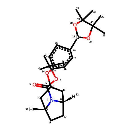 CC(C)(C)OC(=O)N1[C@@H]2CC[C@H]1CC(Oc1ccc(B3OC(C)(C)C(C)(C)O3)cc1)C2